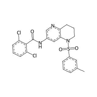 Cc1cccc(S(=O)(=O)N2CCCc3ncc(NC(=O)c4c(Cl)cccc4Cl)cc32)c1